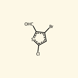 O=Cc1sc(Cl)cc1Br